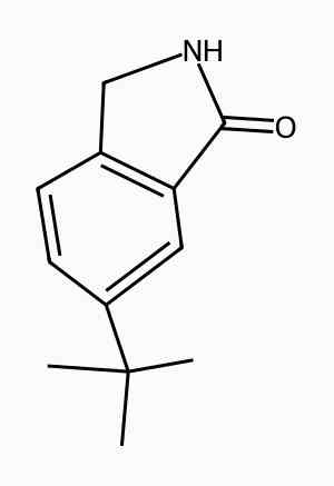 CC(C)(C)c1ccc2c(c1)C(=O)NC2